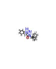 N[C@@H](Cc1ccccc1)C(=O)NCC12CC3CC(CC(C3)C1)C2